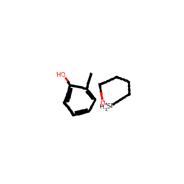 C1CC[SiH2]OC1.Cc1ccccc1O